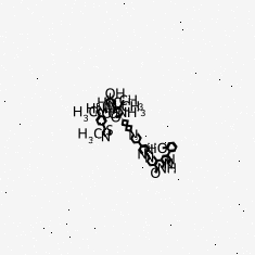 Cc1ncsc1-c1ccc([C@H](C)NC(=O)[C@@H]2C[C@@H](O)CN2C(=O)[C@@H](NC(=O)[C@H]2CC3(C2)C[C@H](N2CCC(c4cnc(N5CCc6c(c7cc(-c8ccccc8O)nnc7[nH]c6=O)C5)nc4)CC2)C3)C(C)(C)C)cc1